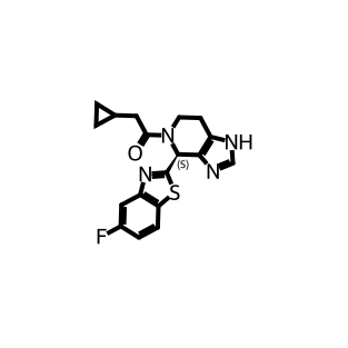 O=C(CC1CC1)N1CCc2[nH]cnc2[C@H]1c1nc2cc(F)ccc2s1